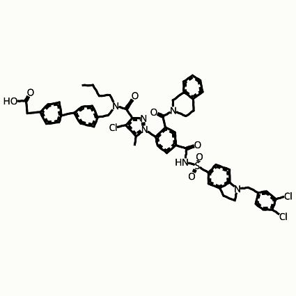 CCCCN(Cc1ccc(-c2ccc(CC(=O)O)cc2)cc1)C(=O)c1nn(-c2ccc(C(=O)NS(=O)(=O)c3ccc4c(c3)CCN4Cc3ccc(Cl)c(Cl)c3)cc2C(=O)N2CCc3ccccc3C2)c(C)c1Cl